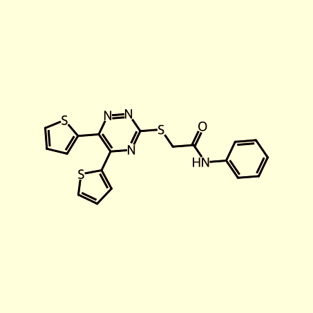 O=C(CSc1nnc(-c2cccs2)c(-c2cccs2)n1)Nc1ccccc1